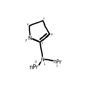 CCCN(CCC)C1=CCC[N]1